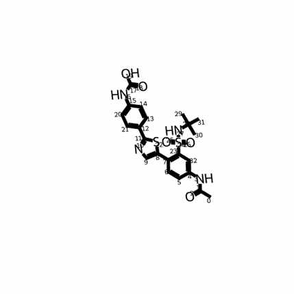 CC(=O)Nc1ccc(-c2cnc(-c3ccc(NC(=O)O)cc3)s2)c(S(=O)(=O)NC(C)(C)C)c1